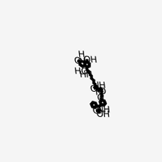 O=C(O)N[C@@H](c1ccccc1)c1cccc(OCc2nc(C(=O)NCCCCNC[C@H](O)c3ccc(O)c4[nH]c(=O)ccc34)co2)c1